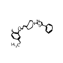 CCc1ccc(I)c(OCCC2CCN(c3ncc(-c4ccccc4)s3)CC2)c1